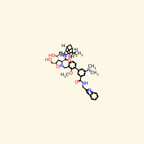 COc1c(CN2O[C@@H](CO)[C@H]([C@H](C)O)[C@H]2C(=O)N[C@H]2C[C@H]3C[C@@H]([C@@H]2C)C3(C)C)cccc1-c1cc(C(=O)NCc2c3c4ccccc4n2-3)cc(N(C)C)c1